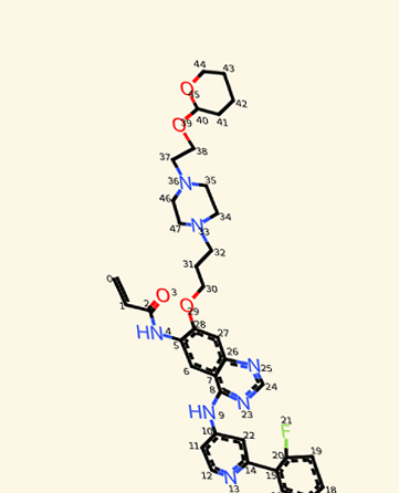 C=CC(=O)Nc1cc2c(Nc3ccnc(-c4ccccc4F)c3)ncnc2cc1OCCCN1CCN(CCOC2CCCCO2)CC1